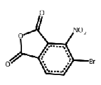 O=C1OC(=O)c2c1ccc(Br)c2[N+](=O)[O-]